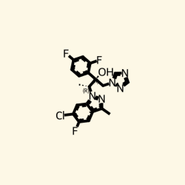 Cc1nn([C@H](C)[C@](O)(Cn2cncn2)c2ccc(F)cc2F)c2cc(Cl)c(F)cc12